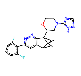 CC1(C)C2CCC1(C1CN(c3ncn[nH]3)CCO1)c1nnc(-c3c(F)cccc3F)cc12